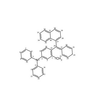 Cc1cc(N(c2ccccc2)c2ccccc2)ccc1C(=C1C=CCC=C1)c1cccc2ccccc12